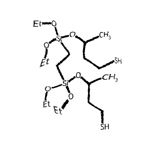 CCO[Si](CC[Si](OCC)(OCC)OC(C)CCS)(OCC)OC(C)CCS